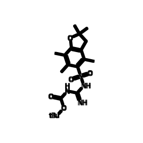 Cc1c(C)c(S(=O)(=O)NC(=N)NC(=O)OC(C)(C)C)c(C)c2c1OC(C)(C)C2